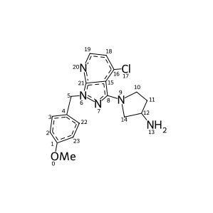 COc1ccc(Cn2nc(N3CCC(N)C3)c3c(Cl)ccnc32)cc1